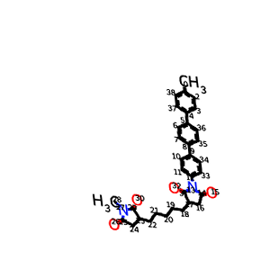 Cc1ccc(-c2ccc(-c3ccc(N4C(=O)CC(CCCCCC5CC(=O)N(C)C5=O)C4=O)cc3)cc2)cc1